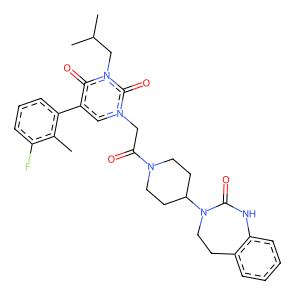 Cc1c(F)cccc1-c1cn(CC(=O)N2CCC(N3CCc4ccccc4NC3=O)CC2)c(=O)n(CC(C)C)c1=O